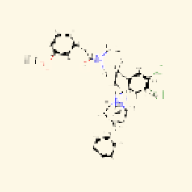 CC(C)Oc1cccc(CC(=O)N2CCCC(CC[N+]34CCC(c5ccccc5)(CC3)CC4)(c3ccc(Cl)c(Cl)c3)C2)c1